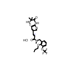 CCCOc1c(CN(C)C(=O)/C=C/c2cnc3c(c2)CNC(C)(C)C(=O)N3)cccc1OC(F)(F)F.Cl